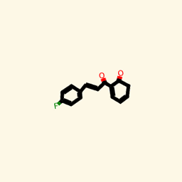 O=C(C=Cc1ccc(F)cc1)C1=CC=CCC1=O